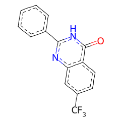 O=c1[nH]c(-c2ccccc2)nc2cc(C(F)(F)F)ccc12